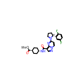 COC(=O)[C@H]1CC[C@H](NC(=O)c2cnn3ccc(N4CCC[C@@H]4c4cc(F)ccc4F)nc23)CC1